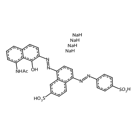 CC(=O)Nc1cccc2ccc(N=Nc3ccc(N=Nc4ccc(S(=O)(=O)O)cc4)c4ccc(S(=O)(=O)O)cc34)c(O)c12.[NaH].[NaH].[NaH].[NaH]